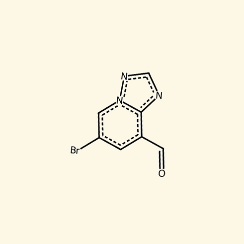 O=Cc1cc(Br)cn2ncnc12